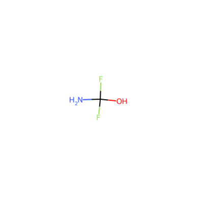 NC(O)(F)F